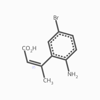 C/C(=C/C(=O)O)c1cc(Br)ccc1N